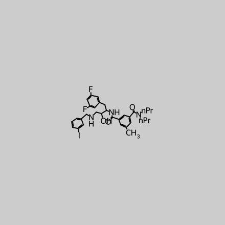 CCCN(CCC)C(=O)c1cc(C)cc(C(=O)NC(Cc2cc(F)cc(F)c2)C(O)CNCc2cccc(I)c2)c1